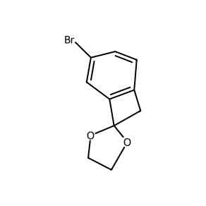 Brc1ccc2c(c1)C1(C2)OCCO1